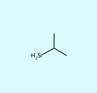 CC(C)[SiH2]